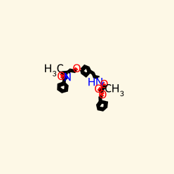 Cc1oc(-c2ccccc2)nc1CCOc1ccc(CCCNOC(C)C(=O)OCc2ccccc2)cc1